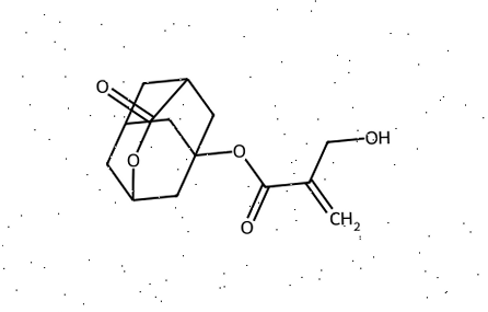 C=C(CO)C(=O)OC12CC3CC(C1)OC(=O)C(C3)C2